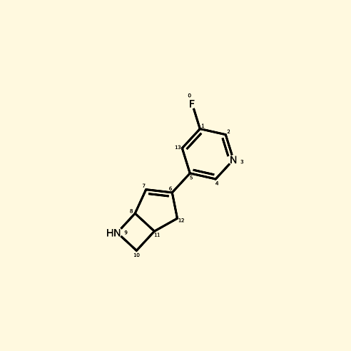 Fc1cncc(C2=CC3NCC3C2)c1